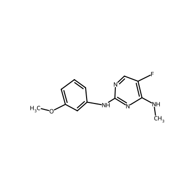 CNc1nc(Nc2cccc(OC)c2)ncc1F